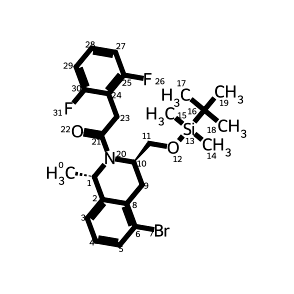 C[C@H]1c2cccc(Br)c2C[C@H](CO[Si](C)(C)C(C)(C)C)N1C(=O)Cc1c(F)cccc1F